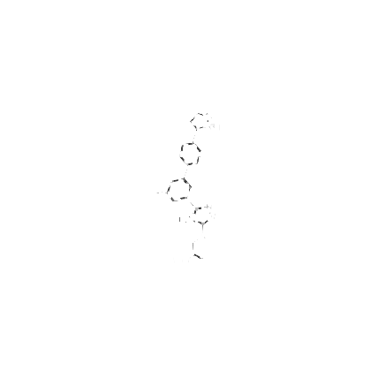 Cc1cc(-c2ccc(-c3ccn[nH]3)cc2)cc(-c2nnc(SCC(=O)O)[nH]2)c1